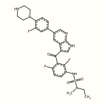 CCN(C)S(=O)(=O)Nc1ccc(F)c(C(=O)c2c[nH]c3ncc(-c4ccc(N5CCNCC5)c(F)c4)cc23)c1F